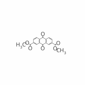 COC(=O)c1ccc2c(c1)C(=O)c1cc(C(=O)OC)ccc1C2=O